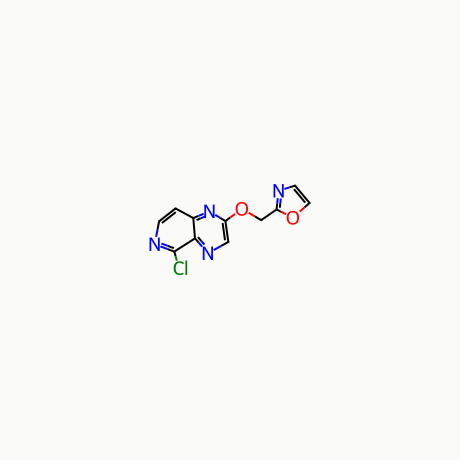 Clc1nccc2nc(OCc3ncco3)cnc12